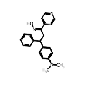 CN(C)c1ccc(C(CC(=NO)c2ccncc2)c2ccccc2)cc1